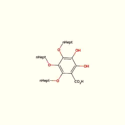 CCCCCCCOc1c(O)c(O)c(C(=O)O)c(OCCCCCCC)c1OCCCCCCC